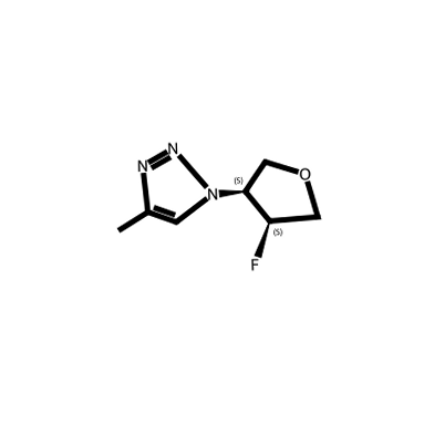 Cc1cn([C@H]2COC[C@H]2F)nn1